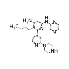 CCCCc1c(N)cc(Nc2cnccn2)nc1-c1ccnc(N2CCNCC2)c1